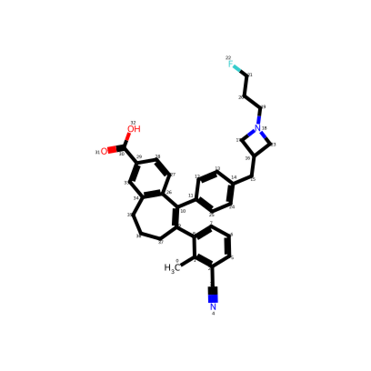 Cc1c(C#N)cccc1C1=C(c2ccc(CC3CN(CCCF)C3)cc2)c2ccc(C(=O)O)cc2CCC1